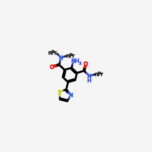 CCCNC(=O)c1cc(-c2nccs2)cc(C(=O)N(CCC)CCC)c1N